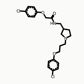 O=C(COc1ccc(Cl)cc1)NCC1CCN(CCCOc2ccc(Cl)cc2)C1